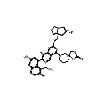 CCc1c(F)ccc2cc(O)cc(-c3ncc4c(N5CCC[C@@]6(COC(=O)O6)C5)nc(OC[C@@]56CCCN5C[C@H](F)C6)nc4c3F)c12